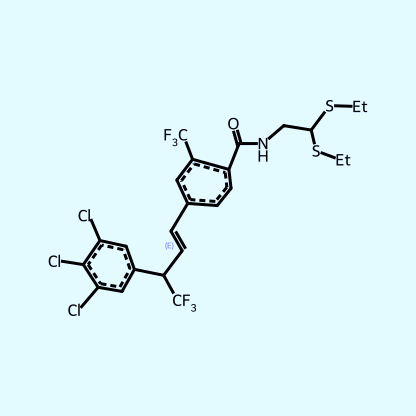 CCSC(CNC(=O)c1ccc(/C=C/C(c2cc(Cl)c(Cl)c(Cl)c2)C(F)(F)F)cc1C(F)(F)F)SCC